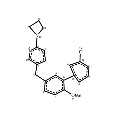 COc1ccc(Cc2ccc(N3CCC3)nc2)cc1-c1cccc(Cl)c1